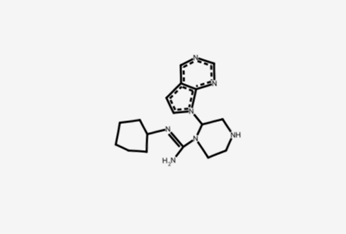 NC(=NC1CCCCC1)N1CCNCC1n1ccc2cncnc21